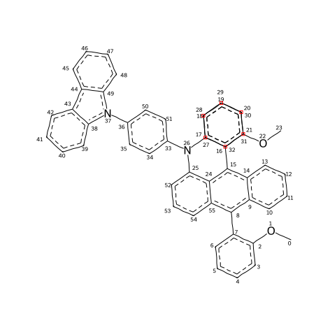 COc1ccccc1-c1c2ccccc2c(-c2ccccc2OC)c2c(N(c3ccccc3)c3ccc(-n4c5ccccc5c5ccccc54)cc3)cccc12